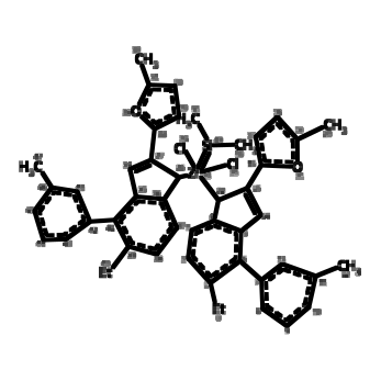 CCc1ccc2c(c1-c1cccc(C)c1)C=C(c1ccc(C)o1)[CH]2[Zr]([Cl])([Cl])([CH]1C(c2ccc(C)o2)=Cc2c1ccc(CC)c2-c1cccc(C)c1)=[Si](C)C